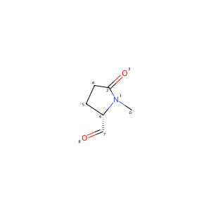 CN1C(=O)CC[C@H]1C=O